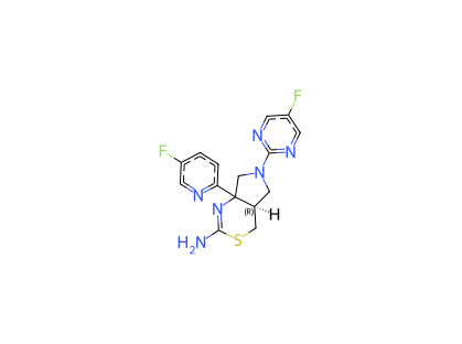 NC1=NC2(c3ccc(F)cn3)CN(c3ncc(F)cn3)C[C@H]2CS1